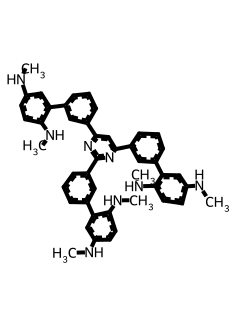 CNc1ccc(NC)c(-c2cccc(-c3cc(-c4cccc(-c5cc(NC)ccc5NC)c4)nc(-c4cccc(-c5cc(NC)ccc5NC)c4)n3)c2)c1